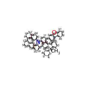 CC1(c2ccccc2)c2ccccc2-c2ccc(-c3ccccc3N(c3ccc(-c4ccc5c(c4)oc4ccccc45)cc3)c3ccccc3-c3cccc4cccc(C5CCCCC5)c34)cc21